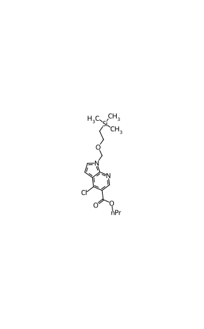 CCCOC(=O)c1cnc2c(ccn2COCC[Si](C)(C)C)c1Cl